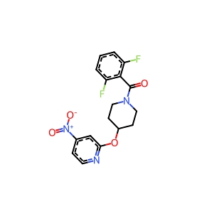 O=C(c1c(F)cccc1F)N1CCC(Oc2cc([N+](=O)[O-])ccn2)CC1